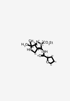 CCOC(=O)n1nc2c(c1NC(=O)C1CCCO1)CNC2(C)C